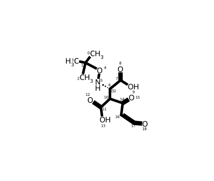 CC(C)(C)ON[C@H](C(=O)O)C(C(=O)O)C(=O)C=C=O